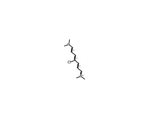 CN(C)/C=C/C=C(Cl)/C=C/C=[N+](C)C